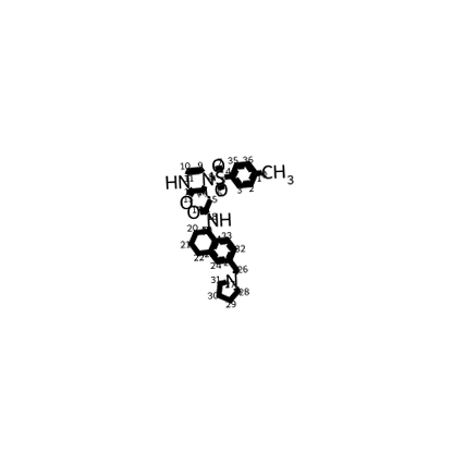 Cc1ccc(S(=O)(=O)N2C=CNC(=O)[C@H]2CC(=O)N[C@@H]2CCCc3cc(CN4CCCC4)ccc32)cc1